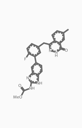 COC(=O)Nc1nc2cc(-c3cc(Cc4n[nH]c(=O)c5cc(C)ccc45)ccc3F)ccc2[nH]1